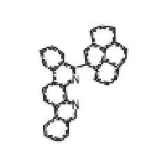 c1ccc2c(c1)cnc1c2ccc2c3ccccc3c(-c3cc4cccc5ccc6cccc3c6c54)nc21